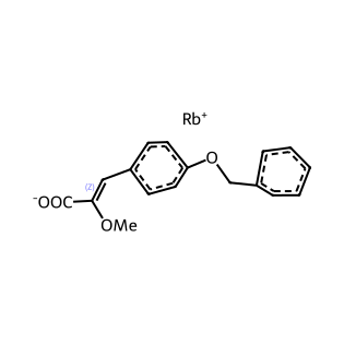 CO/C(=C\c1ccc(OCc2ccccc2)cc1)C(=O)[O-].[Rb+]